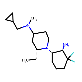 CC[C@@H]1CC(N(C)CC2CC2)CCN1[C@H]1CCCC(F)(F)[C@@H]1N